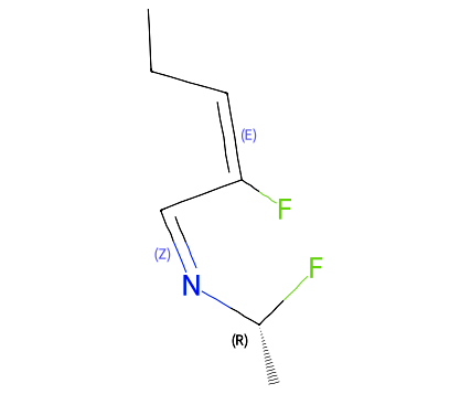 CC/C=C(F)\C=N/[C@@H](C)F